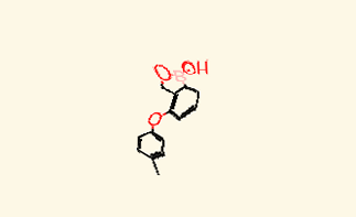 Cc1ccc(Oc2cccc3c2COB3O)cc1